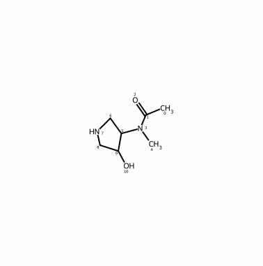 CC(=O)N(C)C1CNCC1O